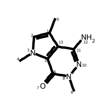 Cc1cn(C)c2c(=O)n(C)nc(N)c12